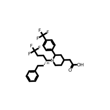 O=C(O)CC1CCN([C@H](CCc2ccccc2)CCC(F)(F)F)C(c2ccc(C(F)(F)F)cc2)C1